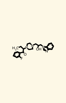 CCC(C(=O)c1ccccc1F)N1CCN(CC(O)Cn2cnc3ccccc32)CC1